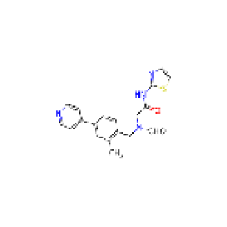 Cc1cc(-c2ccncc2)ccc1CN(C=O)CC(=O)Nc1nccs1